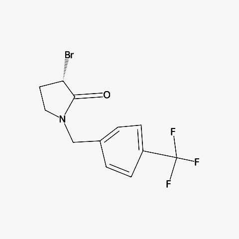 O=C1[C@@H](Br)CCN1Cc1ccc(C(F)(F)F)cc1